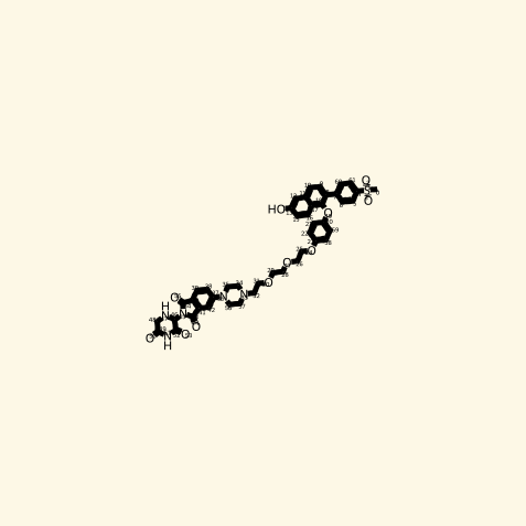 CS(=O)(=O)c1ccc(-c2ccc3cc(O)ccc3c2Oc2ccc(OCCOCCOCCN3CCN(c4ccc5c(c4)C(=O)N(C4NCC(=O)NC4=O)C5=O)CC3)cc2)cc1